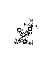 [2H]OCC(C)(C)c1ccc(S(=O)(=O)N([2H])c2nc(-c3ncccn3)nc(OCC([2H])([2H])O[2H])c2Oc2ccccc2OC([2H])([2H])[2H])cc1